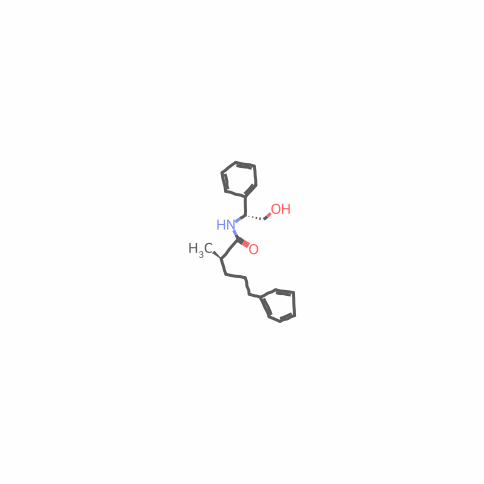 C[C@H](CCCc1ccccc1)C(=O)N[C@@H](CO)c1ccccc1